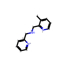 Cc1cccnc1CNCc1ccccn1